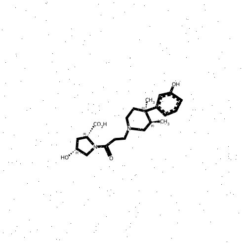 C[C@H]1CN(CCC(=O)N2C[C@H](O)C[C@@H]2C(=O)O)CC[C@@]1(C)c1cccc(O)c1